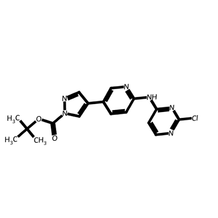 CC(C)(C)OC(=O)n1cc(-c2ccc(Nc3ccnc(Cl)n3)nc2)cn1